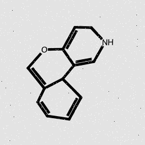 C1=CC2=COC3=CCNC=C3C2C=C1